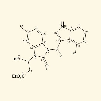 CCCC(CC(=O)OCC)n1c(=O)n(C(C)c2c[nH]c3cccc(C)c23)c2ccc(C)nc21